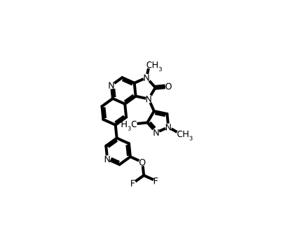 Cc1nn(C)cc1-n1c(=O)n(C)c2cnc3ccc(-c4cncc(OC(F)F)c4)cc3c21